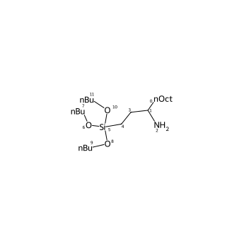 CCCCCCCCC(N)CC[Si](OCCCC)(OCCCC)OCCCC